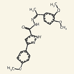 COc1ccc(-c2cc(C(=O)NN=C(C)c3ccc(OC)c(OC)c3)[nH]n2)cc1